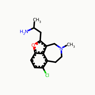 CC(N)Cc1oc2ccc(Cl)c3c2c1CN(C)CC3